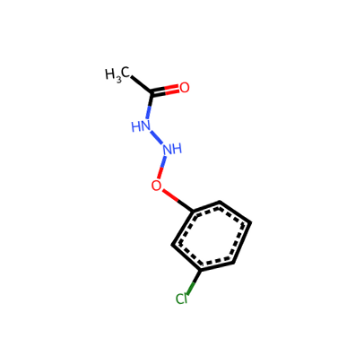 CC(=O)NNOc1cccc(Cl)c1